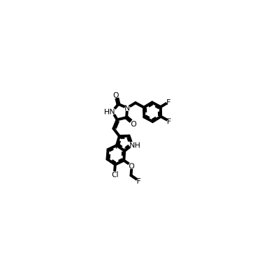 O=C1NC(=Cc2c[nH]c3c(OCF)c(Cl)ccc23)C(=O)N1Cc1ccc(F)c(F)c1